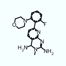 CN1C(N)=Nc2nc(-c3c(F)cccc3N3CCOCC3)ccc2C1N